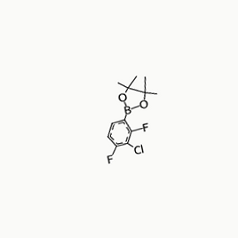 CC1(C)OB(c2ccc(F)c(Cl)c2F)OC1(C)C